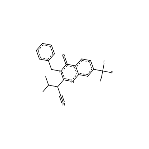 CC(C)C(C#N)c1nc2cc(C(F)(F)F)ccc2c(=O)n1Cc1ccccc1